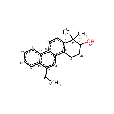 CCc1cc2c3c(ccc2c2ccccc12)C(C)(C)C(O)CC3